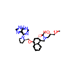 COCC(O)CN(Cc1ccc(OC[C@H]2CCCN2c2ncnc3[nH]cnc23)c2ccccc12)C(C)=O